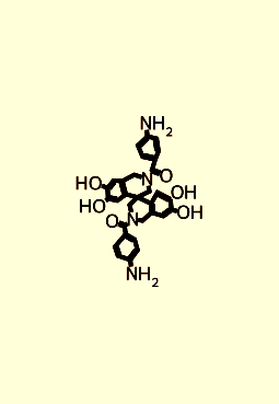 Nc1ccc(C(=O)N2Cc3cc(O)c(O)cc3C3(C2)CN(C(=O)c2ccc(N)cc2)Cc2cc(O)c(O)cc23)cc1